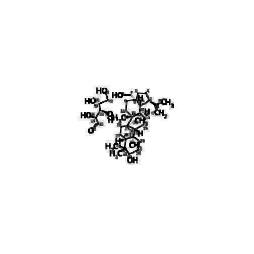 C=C(C)[C@@H]1CC[C@]2(CO)CC[C@]3(C)[C@H](CC[C@@H]4[C@@]5(C)CC[C@H](O)C(C)(C)[C@@H]5CC[C@]43C)[C@@H]12.O=C[C@@H](O)[C@H](O)[C@H](O)CO